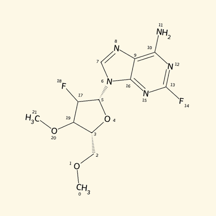 COC[C@H]1O[C@@H](n2cnc3c(N)nc(F)nc32)C(F)C1OC